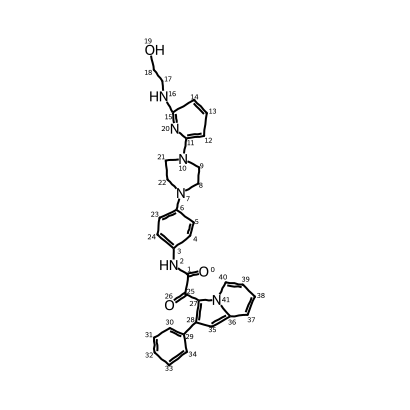 O=C(Nc1ccc(N2CCN(c3cccc(NCCO)n3)CC2)cc1)C(=O)c1c(-c2ccccc2)cc2ccccn12